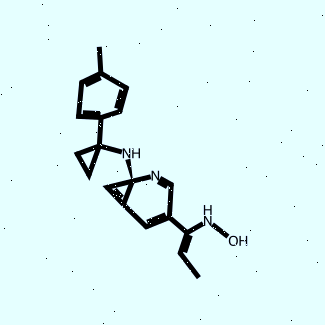 CC=C(NO)C1=CC2=C[C@]2(NC2(c3ccc(C)cc3)CC2)N=C1